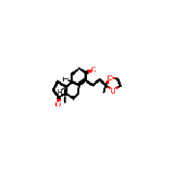 CC1(CCC2=C3CC[C@]4(C)C(=O)CC[C@H]4[C@@H]3CCC2=O)OCCO1